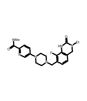 CCN1Cc2ccc(CN3CCN(c4ccc(C(=O)NC)nc4)CC3)c(F)c2NC1=O